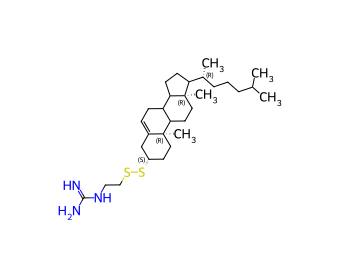 CC(C)CCC[C@@H](C)C1CCC2C3CC=C4C[C@@H](SSCCNC(=N)N)CC[C@]4(C)C3CC[C@@]21C